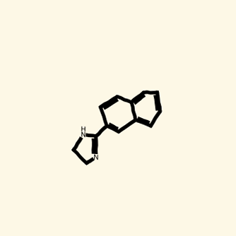 c1ccc2cc(C3=NCCN3)ccc2c1